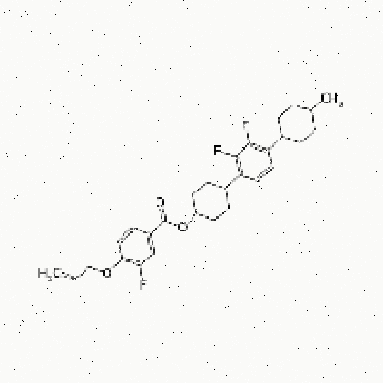 C=CCOc1ccc(C(=O)OC2CCC(c3ccc(C4CCC(C)CC4)c(F)c3F)CC2)cc1F